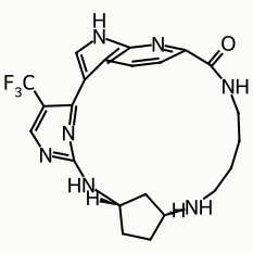 O=C1NCCCCN[C@H]2CC[C@@H](C2)Nc2ncc(C(F)(F)F)c(n2)-c2c[nH]c3nc1ccc23